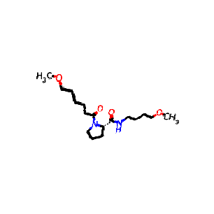 COCCCCCC(=O)N1CCC[C@H]1C(=O)NCCCCOC